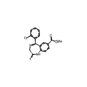 COC(=O)c1ccc2c(c1)C(c1ccccc1Cl)=NCC(=S)N2